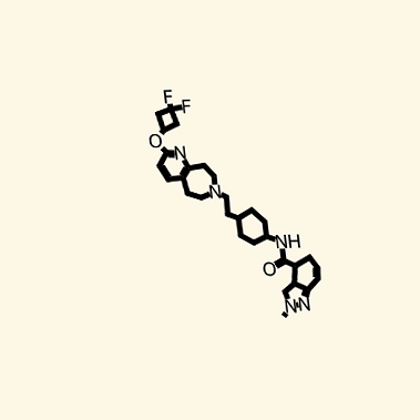 CN1CC2C(=N1)C=CCC2C(=O)NC1CCC(CCN2CCc3ccc(OC4CC(F)(F)C4)nc3CC2)CC1